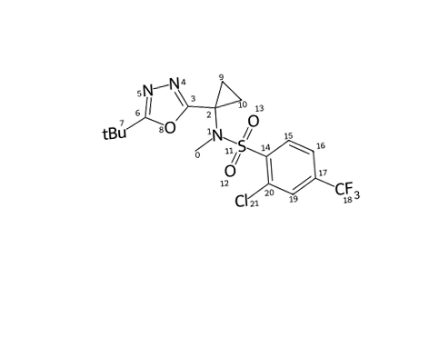 CN(C1(c2nnc(C(C)(C)C)o2)CC1)S(=O)(=O)c1ccc(C(F)(F)F)cc1Cl